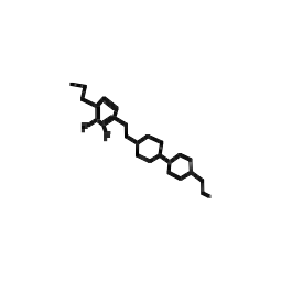 CCCc1ccc(CCC2CCC(C3CCC(CCC)CC3)CC2)c(F)c1F